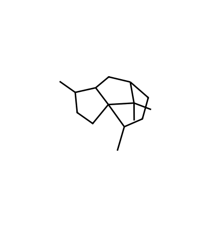 CC1CCC23C(C)CCC(CC12)C3(C)C